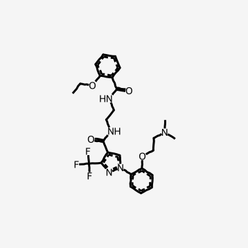 CCOc1ccccc1C(=O)NCCNC(=O)c1cn(-c2ccccc2OCCN(C)C)nc1C(F)(F)F